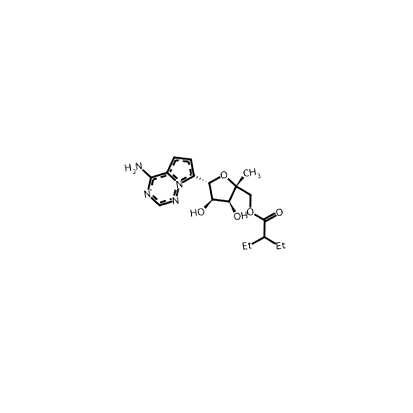 CCC(CC)C(=O)OC[C@@]1(C)O[C@@H](c2ccc3c(N)ncnn23)[C@H](O)[C@@H]1O